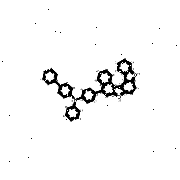 c1ccc(-c2ccc(N(c3ccccc3)c3ccc(-c4cc5oc6ccc7oc8ccccc8c7c6c5c5ccccc45)cc3)cc2)cc1